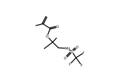 C=C(C)C(=O)OC(C)(C)CNS(=O)(=O)C(F)(F)F